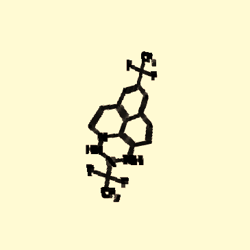 FC(F)(F)C(F)(F)c1cc2ccc3[nH]n(C(F)(F)C(F)(F)F)[nH]n4ccc(c1)c2c34